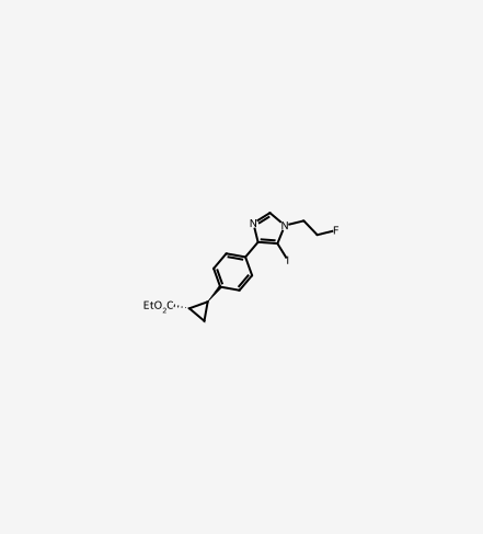 CCOC(=O)[C@H]1C[C@@H]1c1ccc(-c2ncn(CCF)c2I)cc1